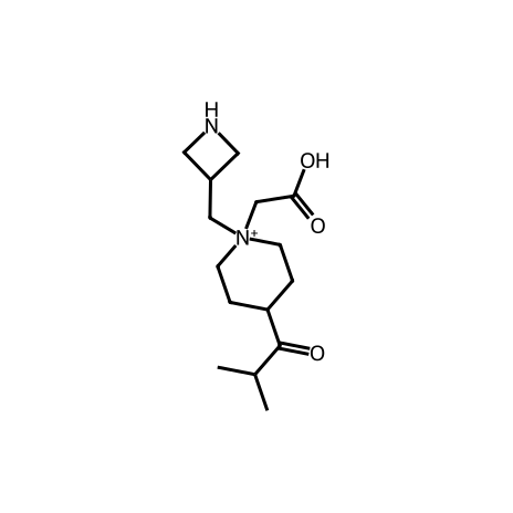 CC(C)C(=O)C1CC[N+](CC(=O)O)(CC2CNC2)CC1